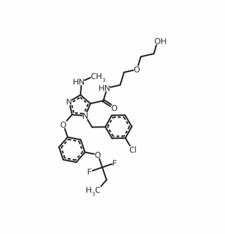 CCC(F)(F)Oc1cccc(Oc2nc(NC)c(C(=O)NCCOCCO)n2Cc2cccc(Cl)c2)c1